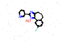 On1c(-c2cccnc2)nc2c1-c1cc(F)ccc1CCC2